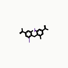 C=C(C)c1cc(C)c(Cc2c(C)cc(C(=C)C)cc2I)c(I)c1